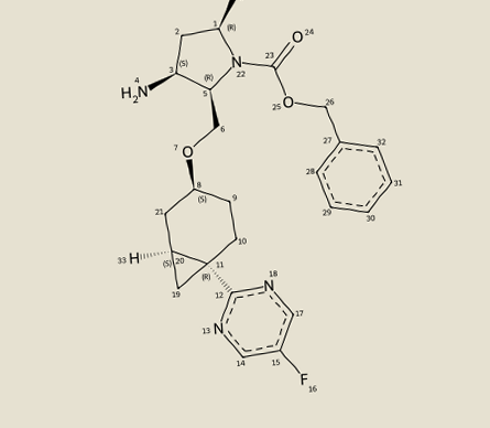 C[C@@H]1C[C@H](N)[C@H](CO[C@H]2CC[C@@]3(c4ncc(F)cn4)C[C@H]3C2)N1C(=O)OCc1ccccc1